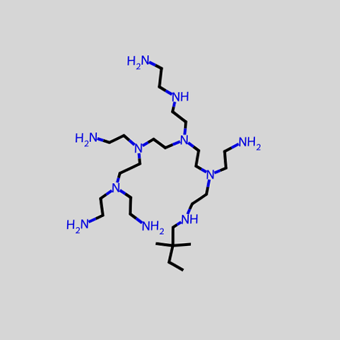 CCC(C)(C)CNCCN(CCN)CCN(CCNCCN)CCN(CCN)CCN(CCN)CCN